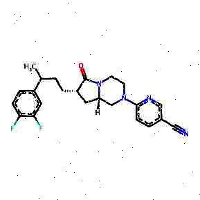 CC(CC[C@H]1C[C@H]2CN(c3ccc(C#N)cn3)CCN2C1=O)c1ccc(F)c(F)c1